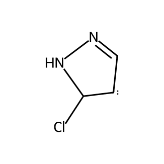 ClC1[C]C=NN1